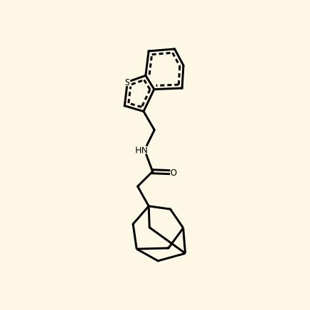 O=C(CC12CC3CC(C1)C(C3)C2)NCc1csc2ccccc12